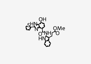 COC(=O)CCc1c(NC(=O)c2ccc(O)c3[nH]c(-c4cccs4)nc23)[nH]c2ccccc12